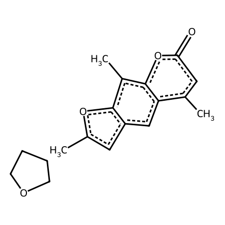 C1CCOC1.Cc1cc2cc3c(C)cc(=O)oc3c(C)c2o1